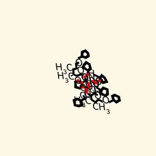 C[C@@H]1C(COCc2ccccc2)O[C@H](OCN(Cc2ccccc2)C(=O)OCc2ccccc2)C(O[C@H]2OC(COCc3ccccc3)[C@@H](O[C@@H]3OC(COCc4ccccc4)[C@@H](C)[C@H](C)C3OC(=O)c3ccccc3)[C@H](PBB=O)C2OCc2ccccc2)[C@H]1C